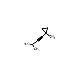 CC(C)C#CC1(C)CC1